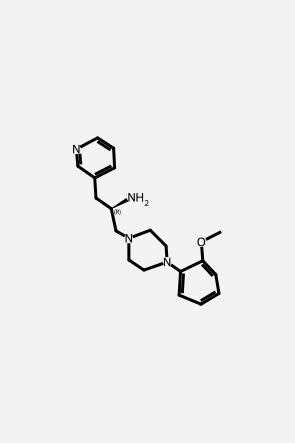 COc1ccccc1N1CCN(C[C@H](N)Cc2cccnc2)CC1